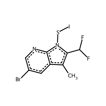 Cc1c(C(F)F)n(SI)c2ncc(Br)cc12